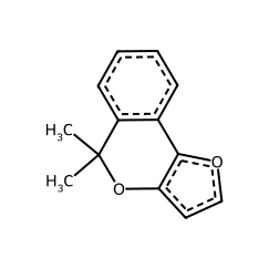 CC1(C)Oc2ccoc2-c2ccccc21